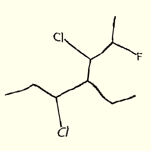 CCC(Cl)C(CC)C(Cl)C(C)F